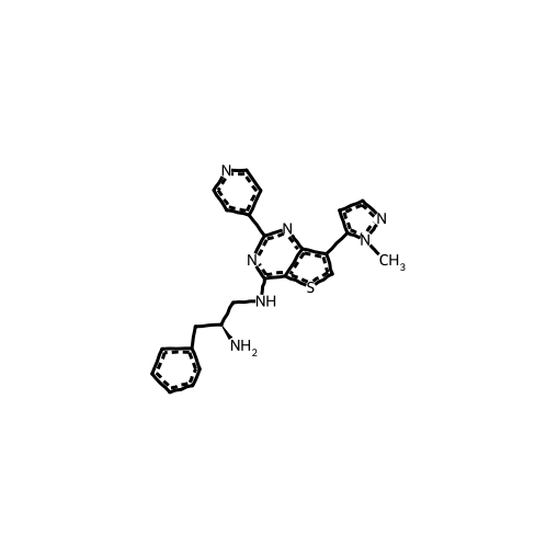 Cn1nccc1-c1csc2c(NC[C@@H](N)Cc3ccccc3)nc(-c3ccncc3)nc12